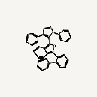 c1ccc(-c2ccccc2-c2oc(-c3c(-c4ccccc4)cnn3-c3ccccc3)c3ccccc23)cc1